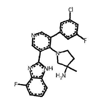 CC1(N)CCN(c2c(-c3cc(F)cc(Cl)c3)cncc2-c2nc3c(F)cccc3[nH]2)C1